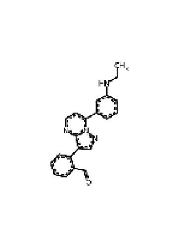 CCNc1cccc(-c2ccnc3c(-c4ccccc4C=O)cnn23)c1